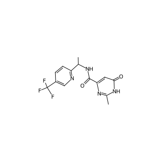 Cc1nc(C(=O)NC(C)c2ccc(C(F)(F)F)cn2)cc(=O)[nH]1